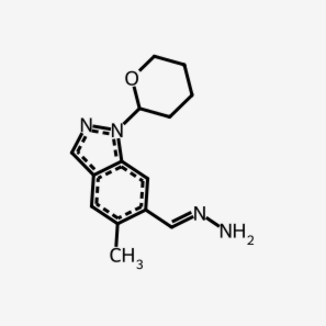 Cc1cc2cnn(C3CCCCO3)c2cc1C=NN